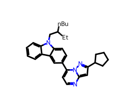 CCCCC(CC)Cn1c2ccccc2c2cc(-c3ccnc4cc(C5CCCC5)nn34)ccc21